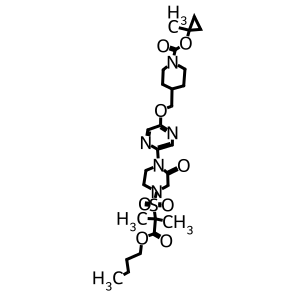 CCCCOC(=O)C(C)(C)S(=O)(=O)N1CCN(c2cnc(OCC3CCN(C(=O)OC4(C)CC4)CC3)cn2)C(=O)C1